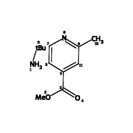 CC(C)(C)N.COC(=O)c1ccnc(C)c1